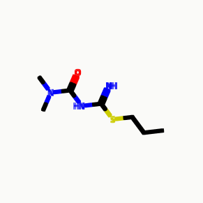 CCCSC(=N)NC(=O)N(C)C